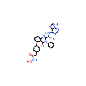 CCC(Nc1ncnc2[nH]cnc12)c1nc2cccc(-c3ccc(CC(=O)NO)cc3)c2c(=O)n1-c1ccccc1